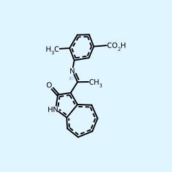 C/C(=N\c1cc(C(=O)O)ccc1C)c1c2cccccc-2[nH]c1=O